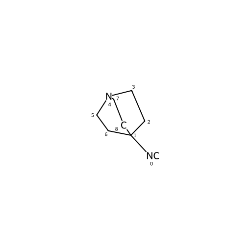 [C-]#[N+]C12CCN(CC1)CC2